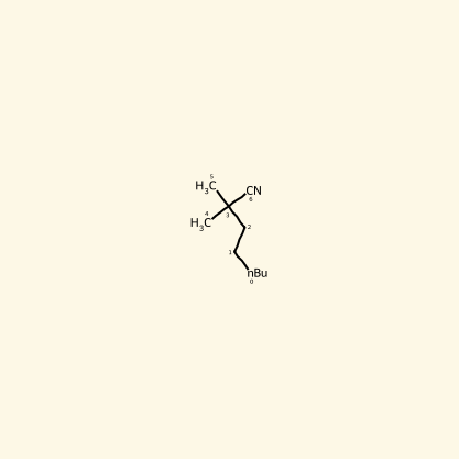 [CH2]CCCCCC(C)(C)C#N